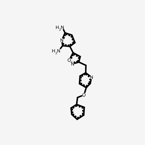 Nc1ccc(-c2cc(Cc3ccc(OCc4ccccc4)cn3)no2)c(N)n1